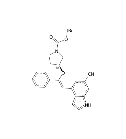 CC(C)(C)OC(=O)N1CC[C@H](OC(=Cc2cc(C#N)cc3[nH]ccc23)c2ccccc2)C1